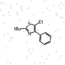 CCc1sc(C(C)(C)C)nc1-c1ccccc1